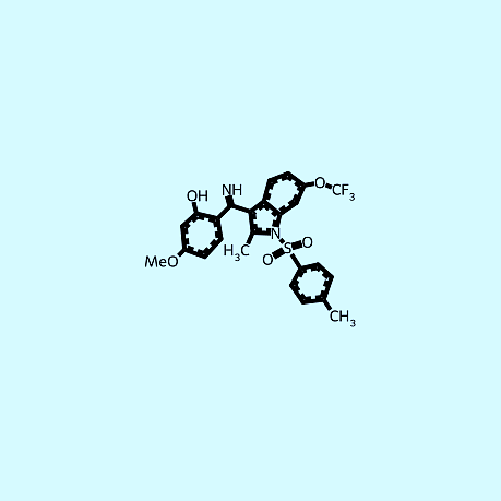 COc1ccc(C(=N)c2c(C)n(S(=O)(=O)c3ccc(C)cc3)c3cc(OC(F)(F)F)ccc23)c(O)c1